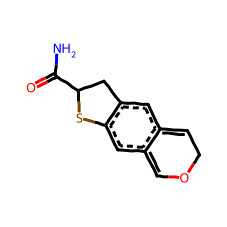 NC(=O)C1Cc2cc3c(cc2S1)=COCC=3